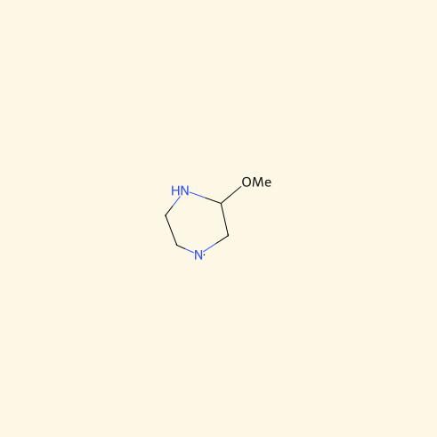 COC1C[N]CCN1